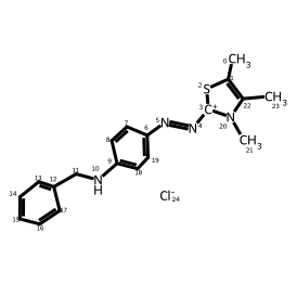 Cc1s[c+](N=Nc2ccc(NCc3ccccc3)cc2)n(C)c1C.[Cl-]